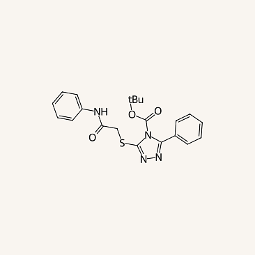 CC(C)(C)OC(=O)n1c(SCC(=O)Nc2ccccc2)nnc1-c1ccccc1